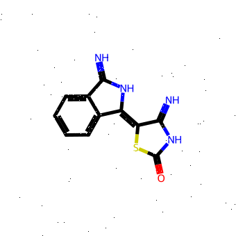 N=C1NC(=O)S/C1=C1/NC(=N)c2ccccc21